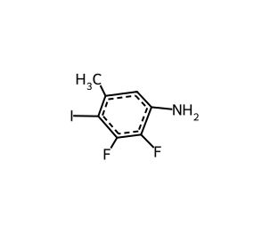 Cc1cc(N)c(F)c(F)c1I